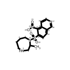 CC1CNCCCCN1S(=O)(=O)c1ccc2cnccc2c1[N+](=O)[O-]